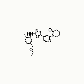 CCOCc1ccc(C)c(Nc2ncc(-c3ccnc(N4CCCCC4=O)c3)o2)c1